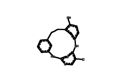 Oc1ccc2cc1CCc1cccc(c1)Nc1ncc(Cl)c(n1)N2